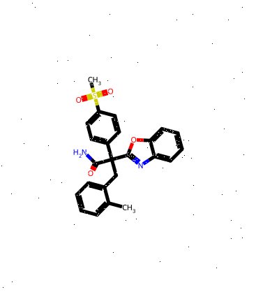 Cc1ccccc1CC(C(N)=O)(c1ccc(S(C)(=O)=O)cc1)c1nc2ccccc2o1